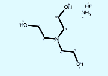 F.N.OCCN(CCO)CCO